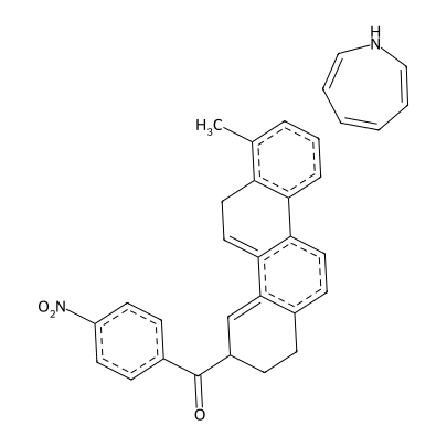 C1=CC=CNC=C1.Cc1cccc2c1CC=c1c-2ccc2c1=CC(C(=O)c1ccc([N+](=O)[O-])cc1)CC2